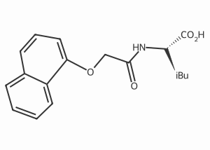 CC[C@H](C)[C@H](NC(=O)COc1cccc2ccccc12)C(=O)O